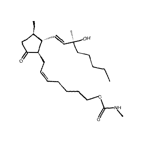 CCCCC[C@](C)(O)/C=C/[C@H]1[C@H](C)CC(=O)[C@@H]1C/C=C\CCCCOC(=O)NC